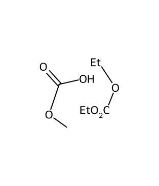 CCOC(=O)OCC.COC(=O)O